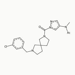 CC(=O)N(C)c1cnn(C(=O)N2CCC3(CCN(Cc4cccc(Cl)c4)C3)C2)c1